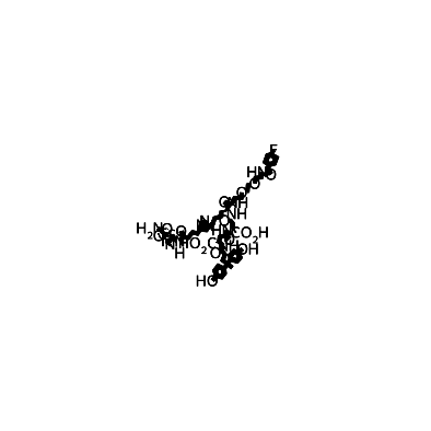 CC(CCC(=O)N[C@@H](CC(=O)N[C@@H](CC(=O)N[C@@H](CCCCn1cc(CCCC(=O)Nc2nnc(S(N)(=O)=O)s2)nn1)C(=O)NCCOCCOCCNC(=O)c1ccc(F)cc1)C(=O)O)C(=O)O)(c1ccc(O)cc1)c1ccc(O)cc1